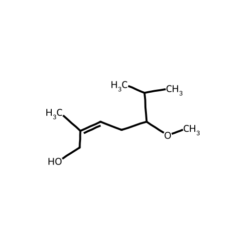 COC(CC=C(C)CO)C(C)C